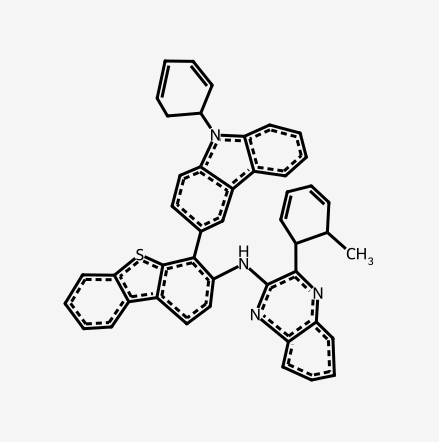 CC1C=CC=CC1c1nc2ccccc2nc1Nc1ccc2c(sc3ccccc32)c1-c1ccc2c(c1)c1ccccc1n2C1C=CC=CC1